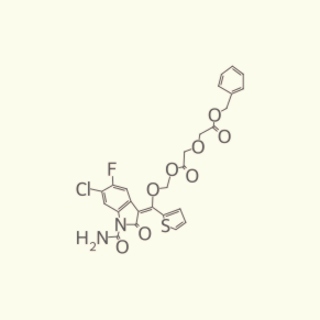 NC(=O)N1C(=O)C(=C(OCOC(=O)COCC(=O)OCc2ccccc2)c2cccs2)c2cc(F)c(Cl)cc21